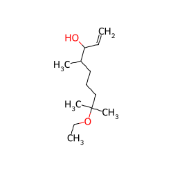 C=CC(O)C(C)CCCC(C)(C)OCC